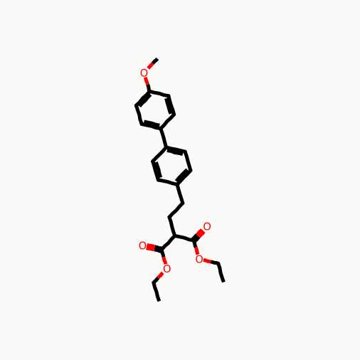 CCOC(=O)C(CCc1ccc(-c2ccc(OC)cc2)cc1)C(=O)OCC